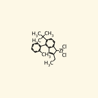 CCC1=Cc2c(ccc(C(C)(C)C)c2-c2ccccc2C)[CH]1[Zr]([Cl])[Cl]